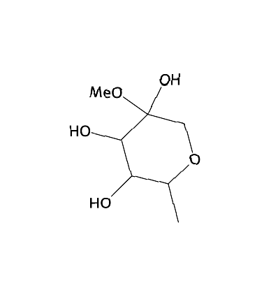 COC1(O)COC(C)C(O)C1O